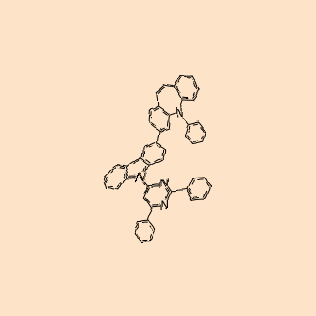 C1=Cc2ccc(-c3ccc4c(c3)c3ccccc3n4-c3cc(-c4ccccc4)nc(-c4ccccc4)n3)cc2N(c2ccccc2)c2ccccc21